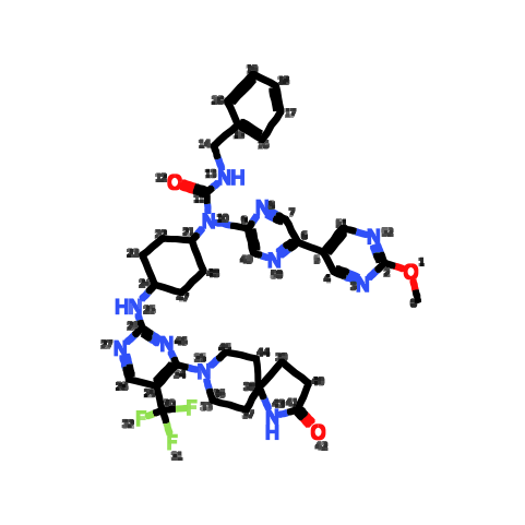 COc1ncc(-c2cnc(N(C(=O)NCc3ccccc3)C3CCC(Nc4ncc(C(F)(F)F)c(N5CCC6(CCC(=O)N6)CC5)n4)CC3)cn2)cn1